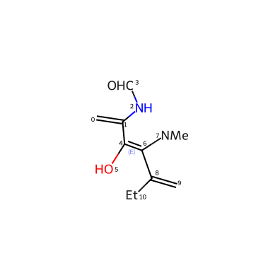 C=C(NC=O)/C(O)=C(\NC)C(=C)CC